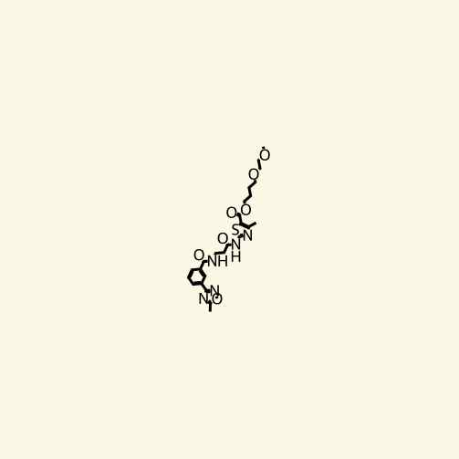 COCCOCCCCOC(=O)c1sc(NC(=O)CCNC(=O)c2cccc(-c3noc(C)n3)c2)nc1C